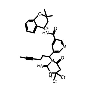 CC#CCCC(c1cncc(C(=O)N[C@H]2CC(C)(C)Oc3ccccc32)c1)N1C(=N)NC(CC)(CC)CC1=O